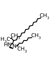 CCCCCCCCCCCCCCC(c1[nH]cc[n+]1C(C)CCCCCCC)C(C)C